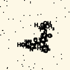 CC(C)(O)[C@H](F)CN1Cc2cc(NC(=O)c3cnn4cc(O)cnc34)c(N3CCOCC3)cc2C1=O